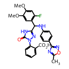 COc1cc(F)c(C(Nc2ccc(-c3noc(C)n3)cc2)c2nn(-c3ccccc3C(=O)O)c(=O)[nH]2)cc1OC